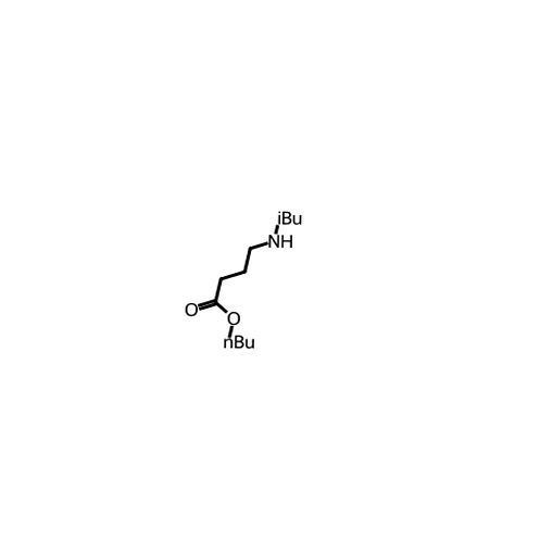 [CH2]C(CC)NCCCC(=O)OCCCC